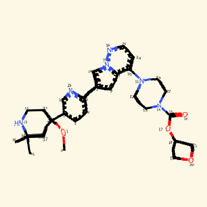 COC1(c2ccc(-c3cc4c(N5CCN(C(=O)OC6COC6)CC5)ccnn4c3)nc2)CCNC(C)(C)C1